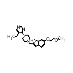 CCc1cncnc1N1CCN(Cc2cc3ccc(OCCOC)cc3[nH]2)CC1